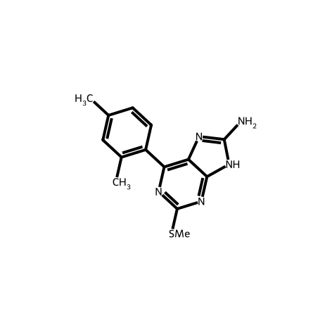 CSc1nc(-c2ccc(C)cc2C)c2nc(N)[nH]c2n1